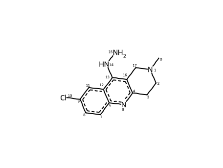 CN1CCc2nc3ccc(Cl)cc3c(NN)c2C1